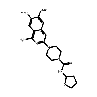 COc1cc2nc(N3CCN(C(=O)NC4CCCO4)CC3)nc(N)c2cc1OC